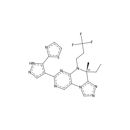 CC[C@]1(C)c2nncn2-c2cnc(-c3cn[nH]c3-c3nccs3)nc2N1CCC(F)(F)F